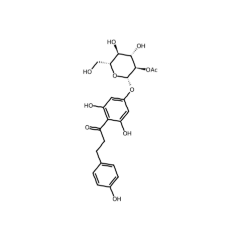 CC(=O)O[C@H]1[C@H](Oc2cc(O)c(C(=O)CCc3ccc(O)cc3)c(O)c2)O[C@H](CO)[C@@H](O)[C@@H]1O